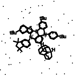 CC(C)(C)c1ccc(N2c3ccc(C(C)(C)C)cc3B3c4sc5ccc(C(C)(C)C)cc5c4N(c4ccc5c(c4)C(C)(C)CC5(C)C)c4cc([C@]56CC7C8CC9C[C@@H]7C(C5)[C@@H](C9)C8C6)cc2c43)cc1